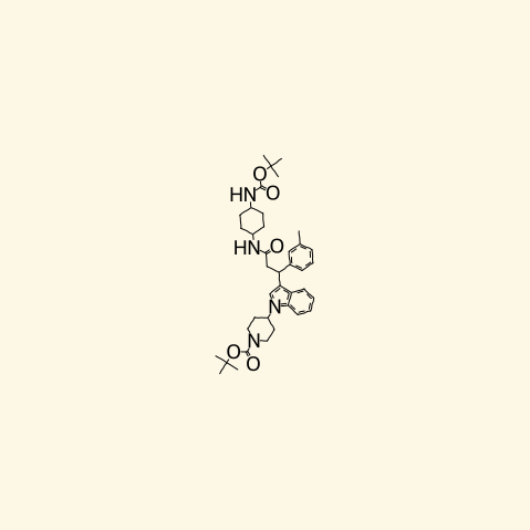 Cc1cccc(C(CC(=O)NC2CCC(NC(=O)OC(C)(C)C)CC2)c2cn(C3CCN(C(=O)OC(C)(C)C)CC3)c3ccccc23)c1